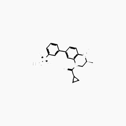 CC(=O)N1c2ccc(-c3cccc(S(N)(=O)=O)c3)cc2N(C(=O)C2CC2)C[C@@H]1C